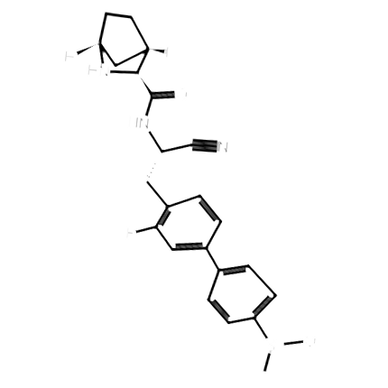 C[S+]([O-])c1ccc(-c2ccc(C[C@@H](C#N)NC(=O)[C@H]3N[C@@H]4CC[C@H]3C4)c(F)c2)cc1